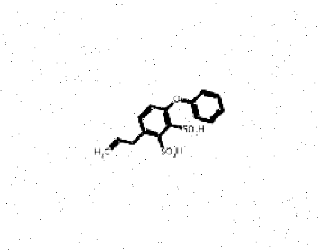 C=CCc1ccc(Oc2ccccc2)c(S(=O)(=O)O)c1S(=O)(=O)O